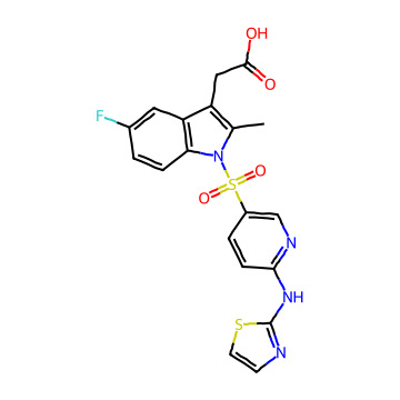 Cc1c(CC(=O)O)c2cc(F)ccc2n1S(=O)(=O)c1ccc(Nc2nccs2)nc1